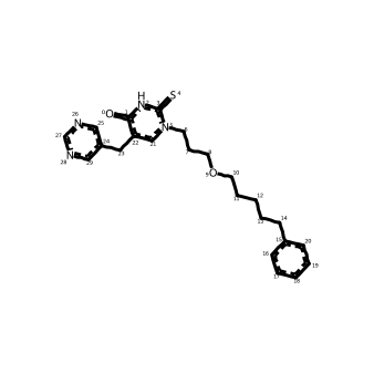 O=c1[nH]c(=S)n(CCCOCCCCCc2ccccc2)cc1Cc1cncnc1